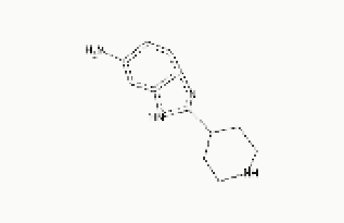 Nc1ccc2nc(C3CCNCC3)[nH]c2c1